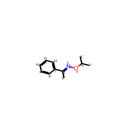 CC(=NOC(C)C)c1[c]cccc1